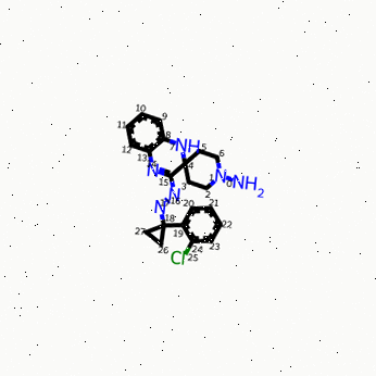 NN1CCC2(CC1)Nc1ccccc1N=C2N=NC1(c2ccccc2Cl)CC1